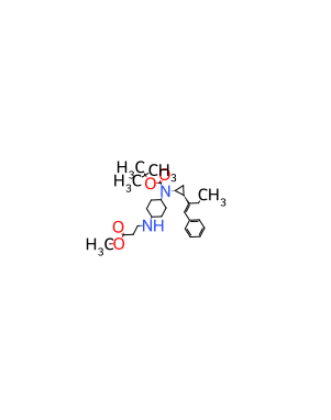 CCC(=Cc1ccccc1)[C@@H]1C[C@H]1N(C(=O)OC(C)(C)C)C1CCC(NCCC(=O)OC)CC1